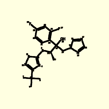 C[C@@H](Sc1nc(C(C)(C)C)ns1)C(O)(Cn1cncn1)c1ccc(F)cc1F